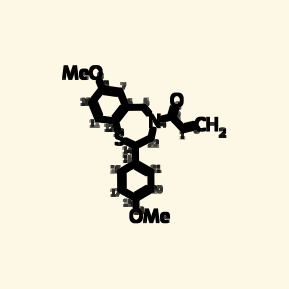 C=CC(=O)N1Cc2cc(OC)ccc2SC(c2ccc(OC)cc2)C1